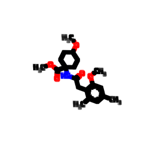 COC(=O)C1(NC(=O)Cc2c(C)cc(C)cc2OC)CCC(OC)CC1